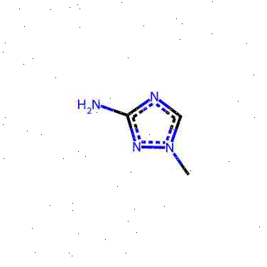 Cn1cnc(N)n1